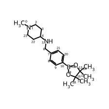 CN1CCC(NCc2ccc(B3OC(C)(C)C(C)(C)O3)cc2)CC1